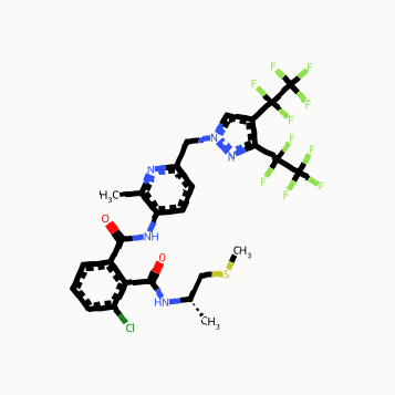 CSC[C@H](C)NC(=O)c1c(Cl)cccc1C(=O)Nc1ccc(Cn2cc(C(F)(F)C(F)(F)F)c(C(F)(F)C(F)(F)F)n2)nc1C